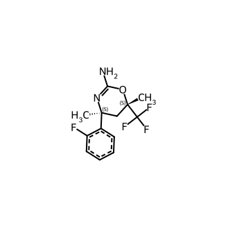 C[C@@]1(c2ccccc2F)C[C@@](C)(C(F)(F)F)OC(N)=N1